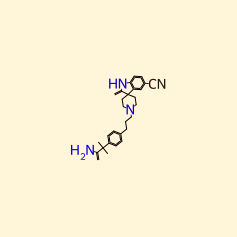 C=C(N)C(C)(C)c1ccc(CCCN2CCC3(CC2)C(=C)Nc2ccc(C#N)cc23)cc1